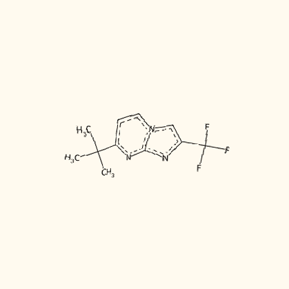 CC(C)(C)c1ccn2cc(C(F)(F)F)nc2n1